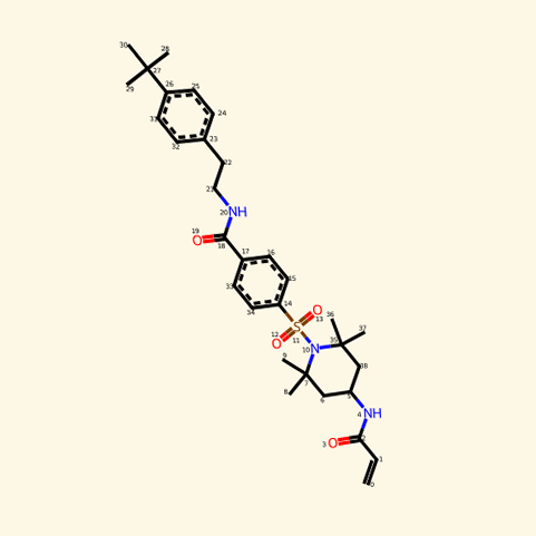 C=CC(=O)NC1CC(C)(C)N(S(=O)(=O)c2ccc(C(=O)NCCc3ccc(C(C)(C)C)cc3)cc2)C(C)(C)C1